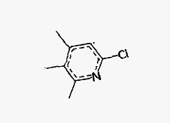 Cc1[c]c(Cl)nc(C)c1C